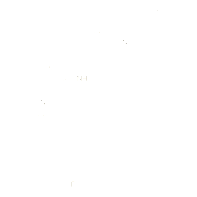 O=C(CCNC(=O)c1cc(-c2ccc(F)cc2)on1)NCC1CC1